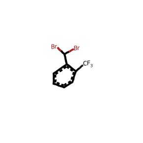 FC(F)(F)c1ccccc1C(Br)Br